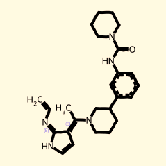 C=C/N=C1/NC=C/C1=C(/C)N1CCCC(c2cccc(NC(=O)N3CCCCC3)c2)C1